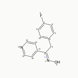 O/N=C(\Cc1ccc(F)cc1)c1ccncc1